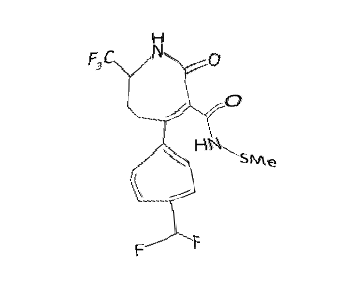 CSNC(=O)C1=C(c2ccc(C(F)F)cc2)CC(C(F)(F)F)NC1=O